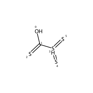 OC(=S)[SH](=S)=S